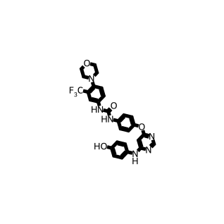 O=C(Nc1ccc(Oc2cc(Nc3ccc(O)cc3)ncn2)cc1)Nc1ccc(N2CCOCC2)c(C(F)(F)F)c1